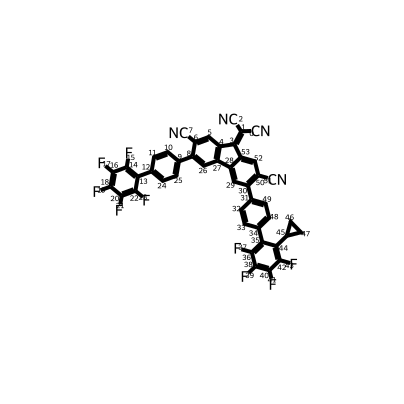 N#CC(C#N)=C1c2cc(C#N)c(-c3ccc(-c4c(F)c(F)c(F)c(F)c4F)cc3)cc2-c2cc(-c3ccc(-c4c(F)c(F)c(F)c(F)c4C4CC4)cc3)c(C#N)cc21